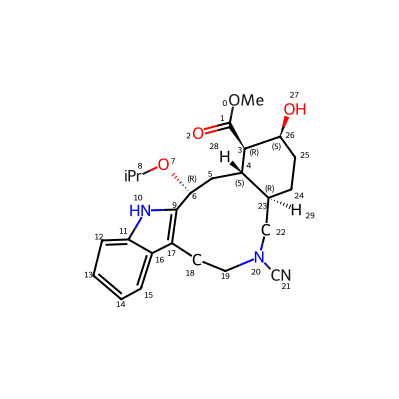 COC(=O)[C@@H]1[C@H]2C[C@@H](OC(C)C)c3[nH]c4ccccc4c3CCN(C#N)C[C@@H]2CC[C@@H]1O